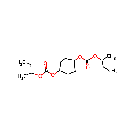 CCC(C)OC(=O)OC1CCC(OC(=O)OC(C)CC)CC1